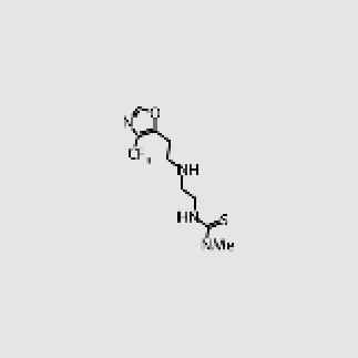 CNC(=S)NCCNCCc1ocnc1C(F)(F)F